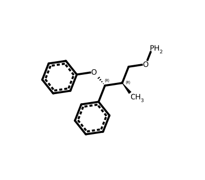 C[C@H](COP)[C@@H](Oc1ccccc1)c1ccccc1